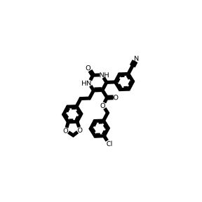 N#Cc1cccc(C2NC(=O)NC(CCc3ccc4c(c3)OCO4)=C2C(=O)OCc2cccc(Cl)c2)c1